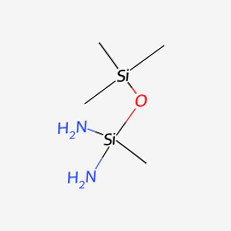 C[Si](C)(C)O[Si](C)(N)N